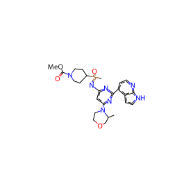 COC(=O)N1CCC(S(C)(=O)=Nc2cc(N3CCOCC3C)nc(-c3ccnc4[nH]ccc34)n2)CC1